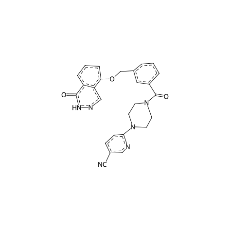 N#Cc1ccc(N2CCN(C(=O)c3cccc(COc4cccc5c(=O)[nH]ncc45)c3)CC2)nc1